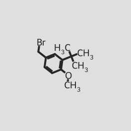 COc1ccc(CBr)cc1C(C)(C)C